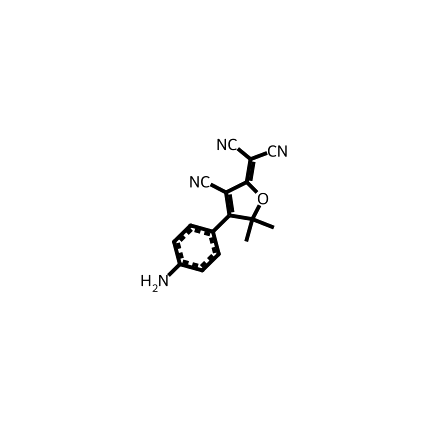 CC1(C)OC(=C(C#N)C#N)C(C#N)=C1c1ccc(N)cc1